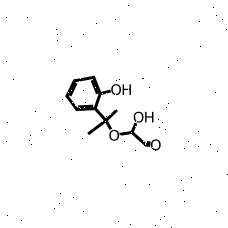 CC(C)(OC(O)C=O)c1ccccc1O